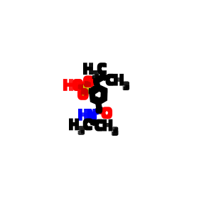 CC(C)Cc1ccc(C(=O)NC(C)C)cc1S(=O)(=O)O